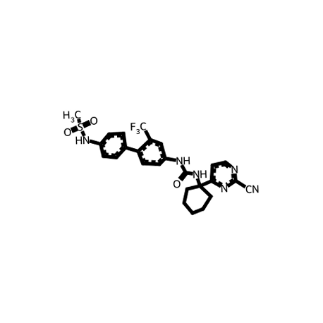 CS(=O)(=O)Nc1ccc(-c2ccc(NC(=O)NC3(c4ccnc(C#N)n4)CCCCC3)cc2C(F)(F)F)cc1